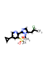 CCS(=O)(=O)c1cc(C2CC2)cnc1-c1ncc(/C=C(\Cl)C(F)(F)F)n1C